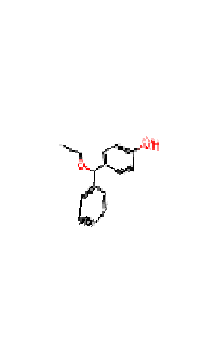 CCOC(c1ccccc1)c1ccc(O)cc1